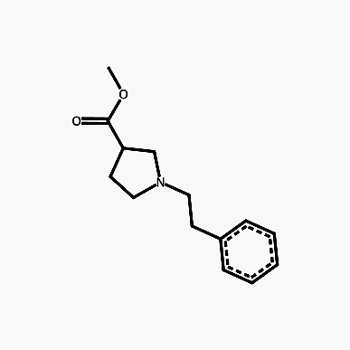 COC(=O)C1CCN(CCc2ccccc2)C1